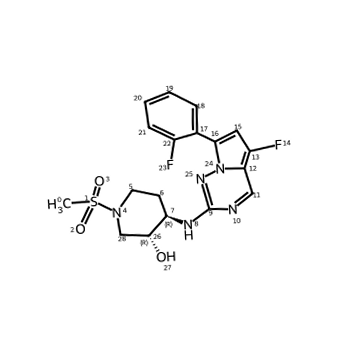 CS(=O)(=O)N1CC[C@@H](Nc2ncc3c(F)cc(-c4ccccc4F)n3n2)[C@H](O)C1